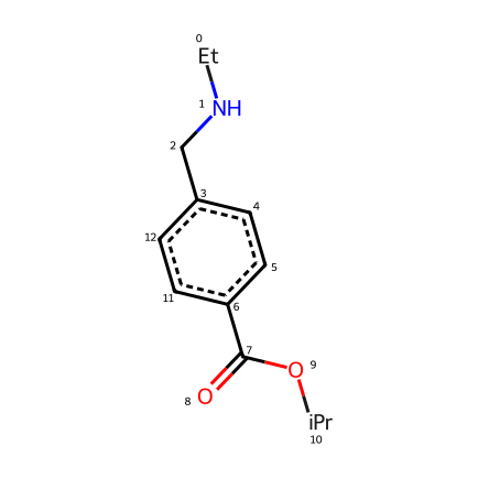 CCNCc1ccc(C(=O)OC(C)C)cc1